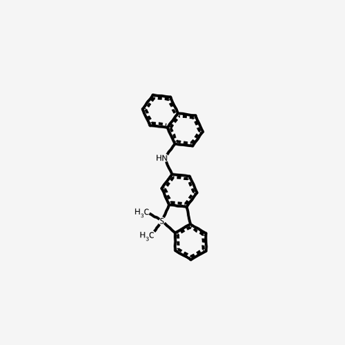 CS1(C)c2ccccc2-c2ccc(Nc3cccc4ccccc34)cc21